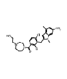 Cc1cc(N)cc2c1cc(Cc1c(Cl)ccc(C(=O)N3CCCN(CCO)CC3)c1Cl)n2C